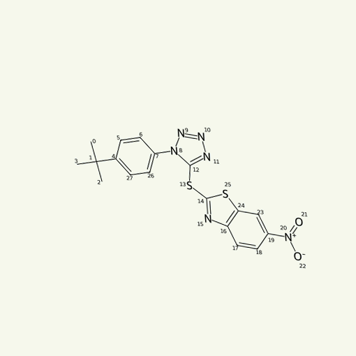 CC(C)(C)c1ccc(-n2nnnc2Sc2nc3ccc([N+](=O)[O-])cc3s2)cc1